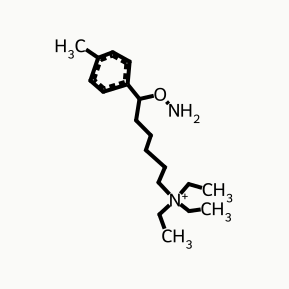 CC[N+](CC)(CC)CCCCCC(ON)c1ccc(C)cc1